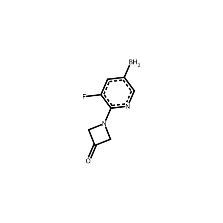 Bc1cnc(N2CC(=O)C2)c(F)c1